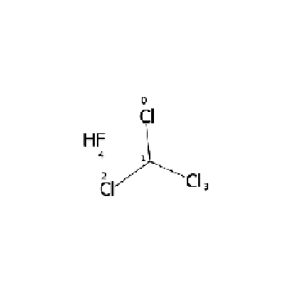 ClC(Cl)Cl.F